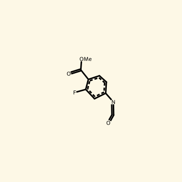 COC(=O)c1ccc(N=C=O)cc1F